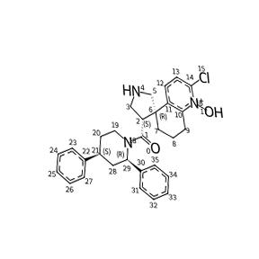 O=C([C@@H]1CNC[C@]12CCCc1c2ccc(Cl)[n+]1O)N1CC[C@H](c2ccccc2)C[C@@H]1c1ccccc1